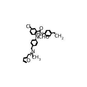 C=Cc1ccc(NC(=O)c2cc(Cl)ccc2N(C=O)c2ccc(C=NN(C)Cc3ccco3)cc2)cc1